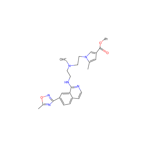 Cc1nc(-c2ccc3ccnc(NCCN(C=O)CCn4cc(C(=O)OC(C)C)cc4C)c3c2)no1